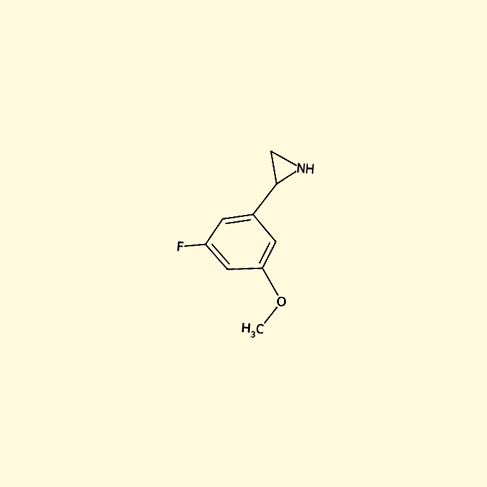 COc1cc(F)cc(C2CN2)c1